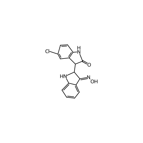 O=C1Nc2ccc(Cl)cc2C1C1Nc2ccccc2C1=NO